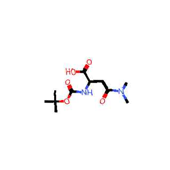 CN(C)C(=O)CC(NC(=O)OC(C)(C)C)C(=O)O